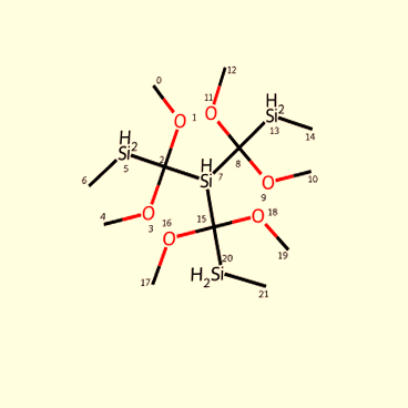 COC(OC)([SiH2]C)[SiH](C(OC)(OC)[SiH2]C)C(OC)(OC)[SiH2]C